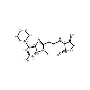 Cn1c(CCNC2C(=O)CSC2=O)nc2c(N3CCOCC3)nc(Cl)nc21